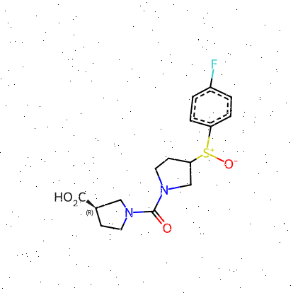 O=C(O)[C@@H]1CCN(C(=O)N2CCC([S+]([O-])c3ccc(F)cc3)C2)C1